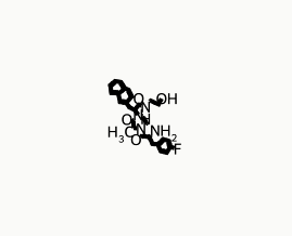 CC1C(=O)N(C(Cc2ccc3ccccc3c2)C(=O)NCCO)CCN1C(=O)C(N)Cc1ccc(F)cc1